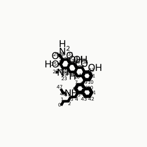 CCCC(Cc1ccc(-c2ccc(O)c3c2C[C@H]2C[C@H]4[C@H](N(C)C)C(O)=C(C(N)=O)C(=O)[C@@]4(O)C(O)=C2C3=O)c2ccccc12)NCC